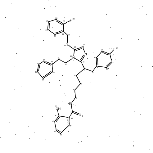 O=C(NCCCCC(Cc1ccc(F)cc1)c1nnc(SCc2ccccc2F)n1CCc1ccccc1)c1ccccc1O